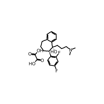 CN(C)CCC[C@]1(O)c2ccccc2CCC[C@@H]1c1ccc(F)cc1F.O=C(O)C(=O)O